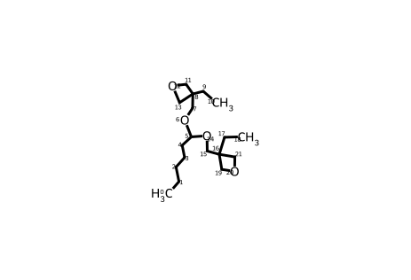 CCCCCC(OCC1(CC)COC1)OCC1(CC)COC1